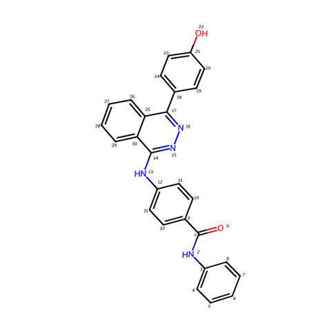 O=C(Nc1ccccc1)c1ccc(Nc2nnc(-c3ccc(O)cc3)c3ccccc23)cc1